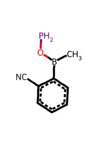 CB(OP)c1ccccc1C#N